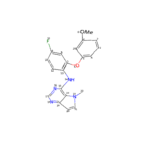 COc1cccc(Oc2cc(F)ccc2Nc2ncnc3ccn(C)c23)c1